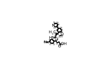 CC1C(C(=O)Nc2cc(C#N)ccc2CCCC(=O)O)[C@@]12CCOc1ccc(-c3cccnc3)cc12